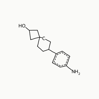 Nc1ccc(C2CCC3(CC2)CC(O)C3)cc1